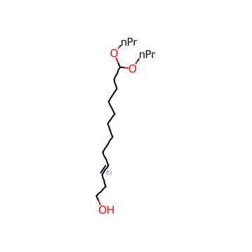 CCCOC(CCCCCCC/C=C/CCO)OCCC